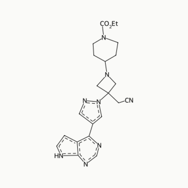 CCOC(=O)N1CCC(N2CC(CC#N)(n3cc(-c4ncnc5[nH]ccc45)cn3)C2)CC1